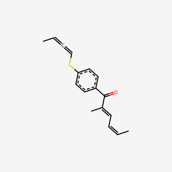 CC=C=CSc1ccc(C(=O)/C(C)=C/C=C\C)cc1